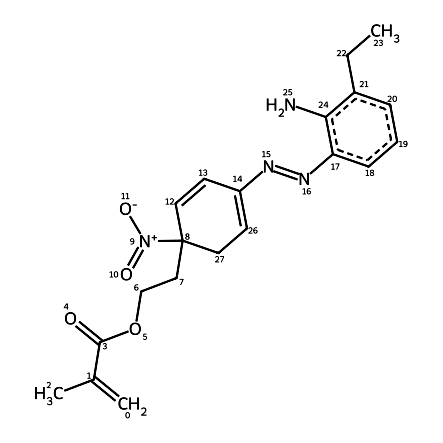 C=C(C)C(=O)OCCC1([N+](=O)[O-])C=CC(N=Nc2cccc(CC)c2N)=CC1